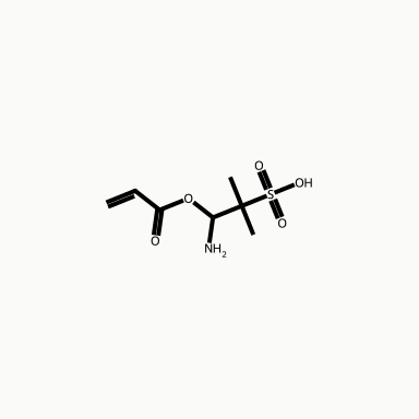 C=CC(=O)OC(N)C(C)(C)S(=O)(=O)O